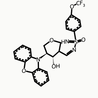 N=S(=O)(/N=C\C1COC[C@H](N2c3ccccc3Oc3ccccc32)[C@H]1O)c1ccc(OC(F)(F)F)cc1